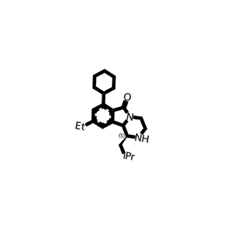 CCc1cc(C2CCCCC2)c2c(c1)C1[C@H](CC(C)C)NCCN1C2=O